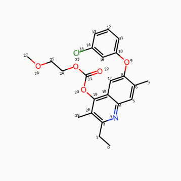 CCc1nc2cc(C)c(Oc3cccc(Cl)c3)cc2c(OC(=O)OCCOC)c1C